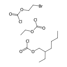 CCCCC(CC)COC(=O)Cl.CCOC(=O)Cl.O=C(Cl)OCCBr